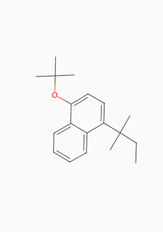 CCC(C)(C)c1ccc(OC(C)(C)C)c2ccccc12